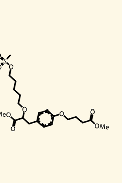 COC(=O)CCCOc1ccc(CC(OCCCCCOS(C)(=O)=O)C(=O)OC)cc1